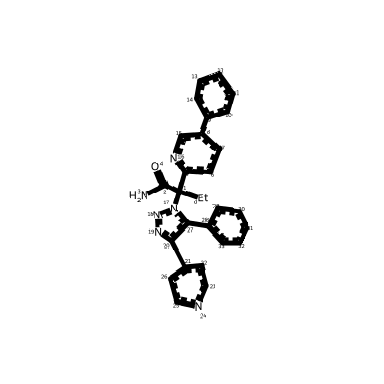 CCC(C(N)=O)(c1ccc(-c2ccccc2)cn1)n1nnc(-c2ccncc2)c1-c1ccccc1